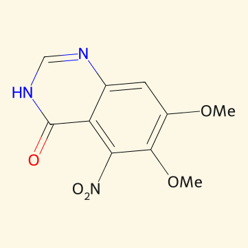 COc1cc2nc[nH]c(=O)c2c([N+](=O)[O-])c1OC